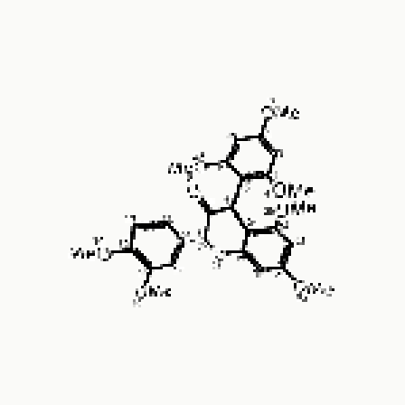 COc1cc(OC)c(C2C(=O)[C@@H](c3ccc(OC)c(OC)c3)Oc3cc(OC)cc(OC)c32)c(OC)c1